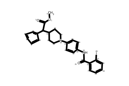 COC(=O)C(c1ccccc1)C1CCN(c2ccc(NC(=O)c3ccccc3I)cc2)CC1